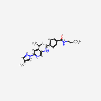 O=C(O)CCNC(=O)c1ccc([C@@H](CCC(F)(F)F)Nc2ccc(-n3cc(C(F)(F)F)cn3)nc2)cc1